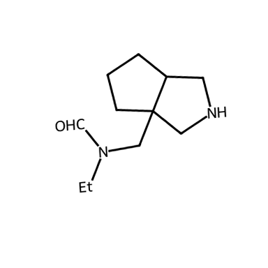 CCN(C=O)CC12CCCC1CNC2